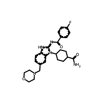 NC(=O)C1CCC(n2/c(=N\C(=O)c3ccc(F)cc3)[nH]c3ccc(CN4CCOCC4)cc32)CC1